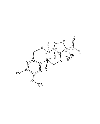 COc1cc2c(cc1O)CC[C@@H]1[C@@H]2CC[C@@]2(C)[C@H]1CC[C@@]2(O)C(C)=O